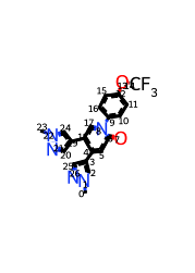 Cn1cc(-c2cc(=O)n(-c3ccc(OC(F)(F)F)cc3)cc2-c2cnn(C)c2)cn1